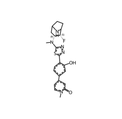 CN(c1nnc(-c2ccc(-c3ccn(C)c(=O)c3)cc2O)s1)[C@@H]1CC2CCC(N2)[C@@H]1F